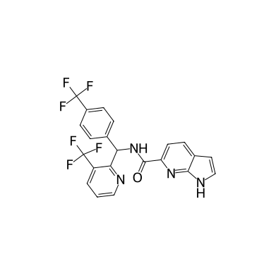 O=C(NC(c1ccc(C(F)(F)F)cc1)c1ncccc1C(F)(F)F)c1ccc2cc[nH]c2n1